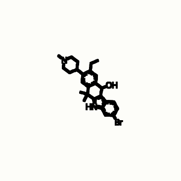 CCc1cc2c(cc1C1CCN(C)CC1)C(C)(C)c1[nH]c3cc(Br)ccc3c1C2O